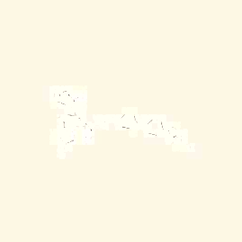 Cc1cc2c(NCCCc3ccc(-c4ccc(OC(F)(F)F)cc4)cc3)nc(-c3cnc[nH]3)nc2s1